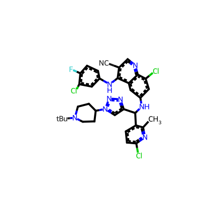 Cc1nc(Cl)ccc1C(Nc1cc(Cl)c2ncc(C#N)c(Nc3ccc(F)c(Cl)c3)c2c1)c1cn(C2CCN(C(C)(C)C)CC2)nn1